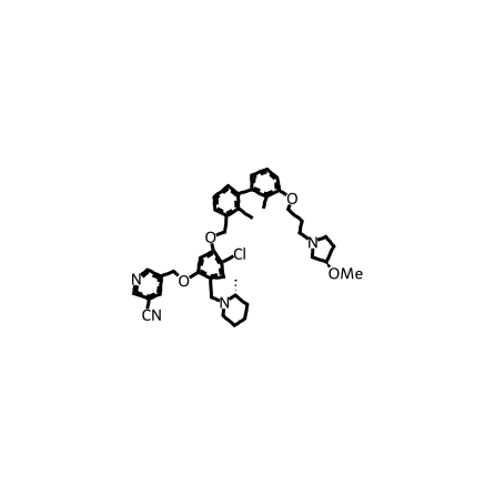 CO[C@@H]1CCN(CCCOc2cccc(-c3cccc(COc4cc(OCc5cncc(C#N)c5)c(CN5CCCC[C@H]5C)cc4Cl)c3C)c2C)C1